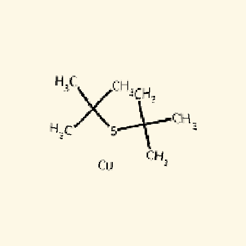 CC(C)(C)SC(C)(C)C.[Cu]